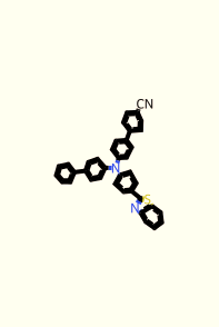 N#Cc1ccc(-c2ccc(N(c3ccc(-c4ccccc4)cc3)c3ccc(-c4nc5ccccc5s4)cc3)cc2)cc1